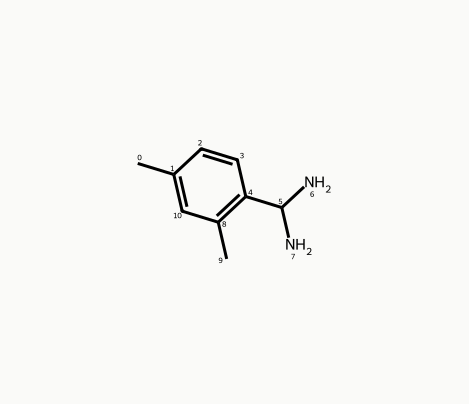 Cc1ccc(C(N)N)c(C)c1